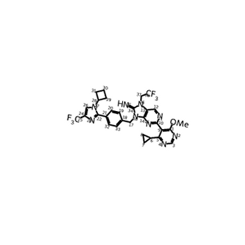 COc1ncnc(C2CC2)c1-c1ncc2c(n1)n(Cc1ccc(-c3nc(C(F)(F)F)cn3C3CCC3)cc1)c(=N)n2CC(F)(F)F